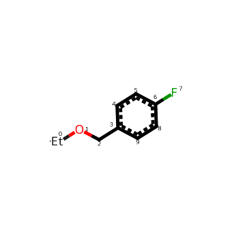 C[CH]OCc1ccc(F)cc1